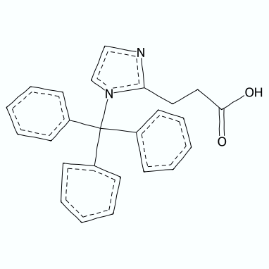 O=C(O)CCc1nccn1C(c1ccccc1)(c1ccccc1)c1ccccc1